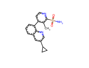 Cc1c(-c2cccc3cc(C4CC4)cnc23)ccnc1S(N)(=O)=O